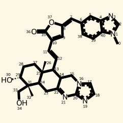 Cn1cnc2cc(/C=C3C=C(/C=C/C4C5Cn6ccnc6N=C5CC5[C@]4(C)CC[C@@H](O)[C@@]5(C)CO)C(=O)O\3)ccc21